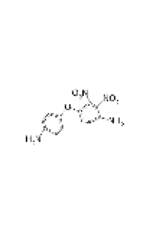 Nc1ccc(Oc2ccc(N)c([N+](=O)[O-])c2[N+](=O)[O-])cc1